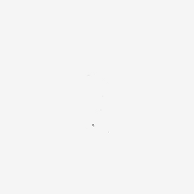 CCC(C)C(=O)OC(C)(C)C1=C2C3CC(C1)CC2C3